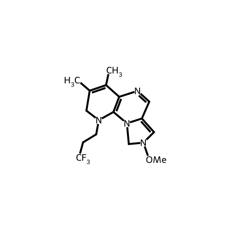 CON1C=C2C=NC3=C(N(CCC(F)(F)F)CC(C)=C3C)N2C1